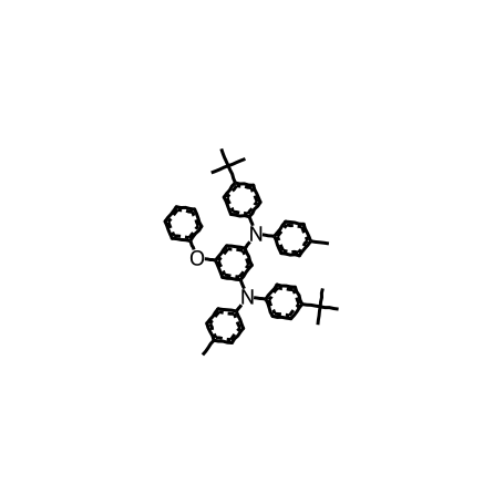 Cc1ccc(N(c2ccc(C(C)(C)C)cc2)c2cc(Oc3ccccc3)cc(N(c3ccc(C)cc3)c3ccc(C(C)(C)C)cc3)c2)cc1